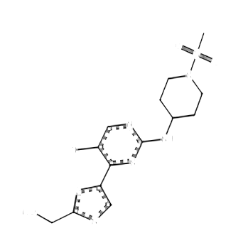 CS(=O)(=O)N1CCC(Nc2ncc(Cl)c(-c3cnc(CO)s3)n2)CC1